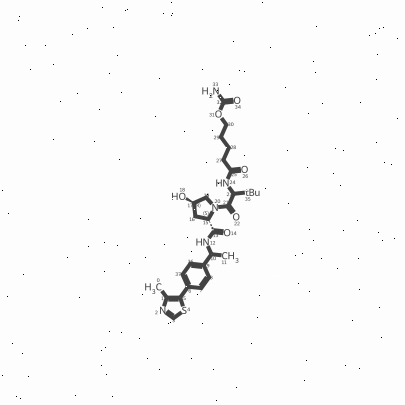 Cc1ncsc1-c1ccc(C(C)NC(=O)[C@@H]2C[C@@H](O)CN2C(=O)C(NC(=O)CCCCOC(N)=O)C(C)(C)C)cc1